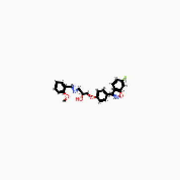 COc1ccccc1CNC[C@H](O)COc1ccc(-c2noc3cc(F)ccc23)cc1